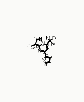 FC(F)(F)c1cc(-c2cccs2)nc2c(Cl)cnn12